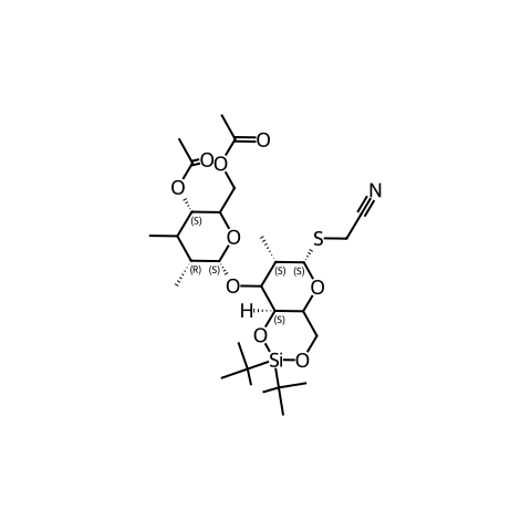 CC(=O)OCC1O[C@H](OC2[C@@H]3O[Si](C(C)(C)C)(C(C)(C)C)OCC3O[C@@H](SCC#N)[C@H]2C)[C@H](C)C(C)[C@@H]1OC(C)=O